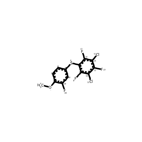 COc1ccc(Sc2c(F)c(Cl)c(F)c(Cl)c2F)cc1F